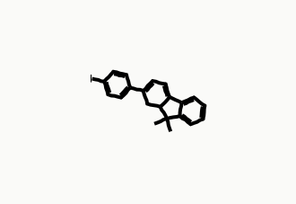 CC1(C)c2ccccc2C2=CC=C(c3ccc(I)cc3)CC21